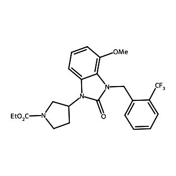 CCOC(=O)N1CCC(n2c(=O)n(Cc3ccccc3C(F)(F)F)c3c(OC)cccc32)C1